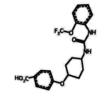 O=C(Nc1ccccc1OC(F)(F)F)NC1CCC(Oc2ccc(C(=O)O)cc2)CC1